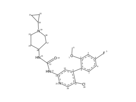 COc1cc(F)ccc1-c1cc(NC(=O)NC2CCN(C3CC3)CC2)ncc1Cl